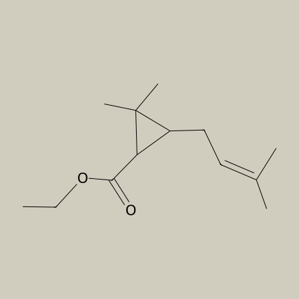 CCOC(=O)C1C(CC=C(C)C)C1(C)C